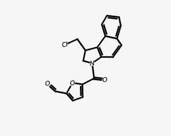 O=Cc1ccc(C(=O)N2CC(CCl)c3c2ccc2ccccc32)o1